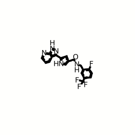 O=C(NCc1cc(C(F)(F)F)ccc1F)c1c[nH]c(-c2n[nH]c3ncccc23)c1